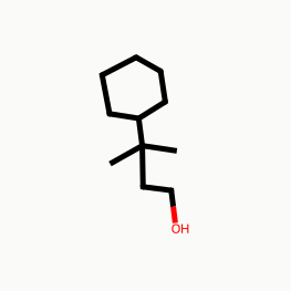 CC(C)(CCO)C1CCCCC1